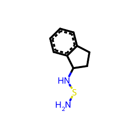 NSNC1CCc2ccccc21